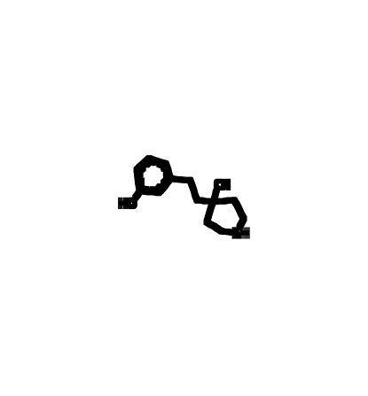 N#CC1(CCc2cccc(O)c2)CCNCC1